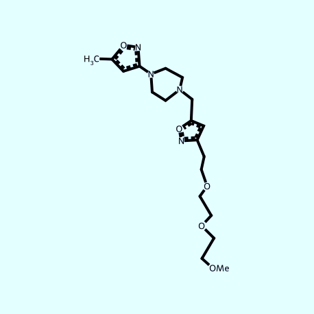 COCCOCCOCCc1cc(CN2CCN(c3cc(C)on3)CC2)on1